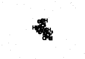 Cn1c(C(=O)NC2(c3cccc(C(=O)O)c3)CCCNC2)cc2c(Cl)c(Cl)ccc21